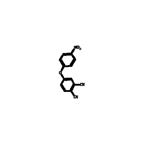 N#Cc1ccc(Oc2ccc([N+](=O)[O-])cc2)cc1C#N